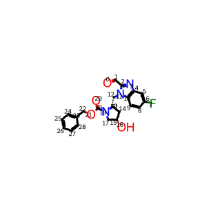 O=Cc1nc2cc(F)ccc2n1C[C@@H]1CC(O)CN1C(=O)OCc1ccccc1